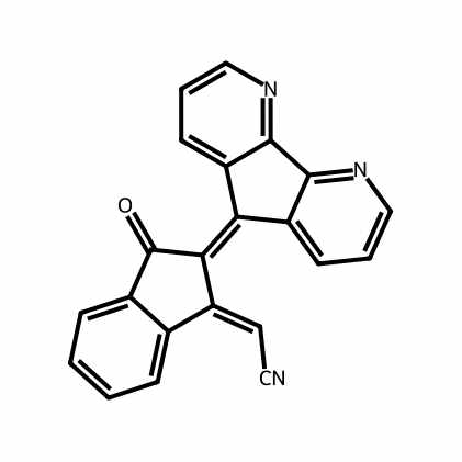 N#C/C=C1/C(=C2c3cccnc3-c3ncccc32)C(=O)c2ccccc21